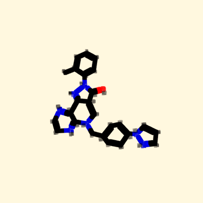 Cc1ccccc1-n1nc2c3nccnc3n(Cc3ccc(-n4cccn4)cc3)cc-2c1=O